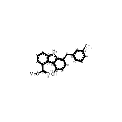 COC(=O)c1cccc2[nH]c3c(Cc4cccc(C)c4)ccc(O)c3c12